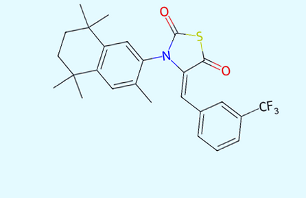 Cc1cc2c(cc1N1C(=O)SC(=O)C1=Cc1cccc(C(F)(F)F)c1)C(C)(C)CCC2(C)C